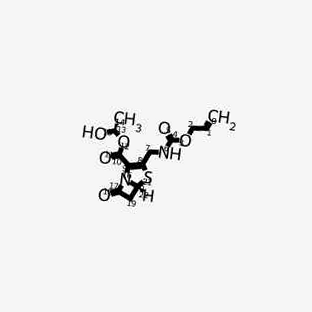 C=CCOC(=O)NCC1=C(C(=O)O[C@H](C)O)N2C(=O)C[C@H]2S1